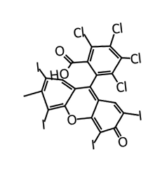 Cc1c(I)cc2c(-c3c(Cl)c(Cl)c(Cl)c(Cl)c3C(=O)O)c3cc(I)c(=O)c(I)c-3oc2c1I